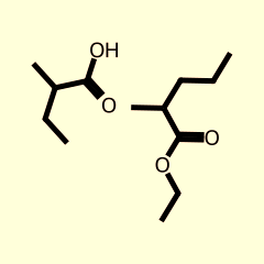 CCC(C)C(=O)O.CCCC(C)C(=O)OCC